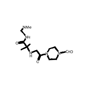 CNCNC(=O)C(C)(C)NCC(=O)N1CCN(C=O)CC1